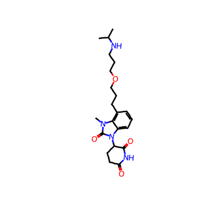 CC(C)NCCCOCCCc1cccc2c1n(C)c(=O)n2C1CCC(=O)NC1=O